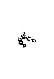 Cc1nc(N2CCN(C3COC3)CC2)cc(-n2ncc3ccc(C4CCC4)cc32)n1